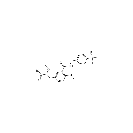 COc1ccc(CC(OC)C(=O)O)cc1C(=O)NCc1ccc(C(F)(F)F)cc1